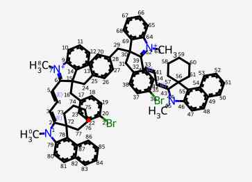 CN1/C(=C/C=C/C2=[N+](C)c3ccccc3C2(Cc2ccc(Br)cc2)Cc2ccc(CC3(Cc4ccc(Br)cc4)C(/C=C/C=C4/N(C)c5ccc6ccccc6c5C45CCCCC5)=[N+](C)c4ccccc43)cc2)C2(CCCCC2)c2c1ccc1ccccc21